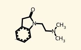 CN(C)CCN1C(=O)Cc2c[c]ccc21